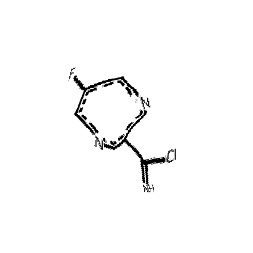 N=C(Cl)c1ncc(F)cn1